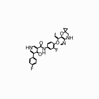 C=NC1=C(/C(=C\C)Oc2ccc(NC(=O)c3c[nH]cc(-c4ccc(F)cc4)c3=O)cc2F)OC2(CC2)CN1